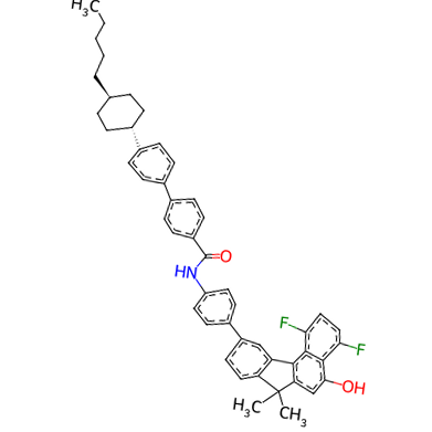 CCCCC[C@H]1CC[C@H](c2ccc(-c3ccc(C(=O)Nc4ccc(-c5ccc6c(c5)-c5c(cc(O)c7c(F)ccc(F)c57)C6(C)C)cc4)cc3)cc2)CC1